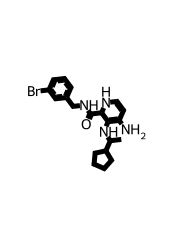 CC(NC1=C(N)C=CNC1C(=O)NCc1cccc(Br)c1)C1CCCC1